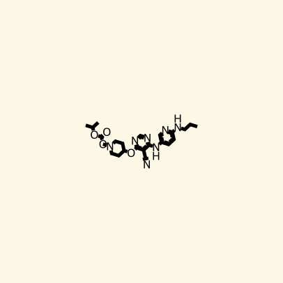 CCCNc1ccc(Nc2ncnc(OC3CCN(OC(=O)OC(C)C)CC3)c2C#N)cn1